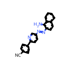 N#Cc1ccc(-c2ccc(N=Nc3ccc4ccccc4c3N)cn2)cc1